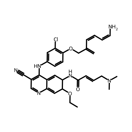 C=C(/C=C\C=C/N)COc1ccc(Nc2c(C#N)cnc3c2=CC(NC(=O)/C=C/CN(C)C)C(OCC)C=3)cc1Cl